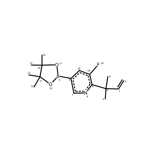 C=CC(C)(C)c1ncc(B2OC(C)(C)C(C)(C)O2)cc1F